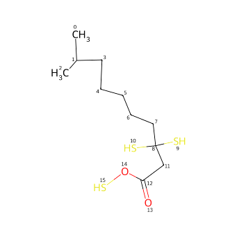 CC(C)CCCCCC(S)(S)CC(=O)OS